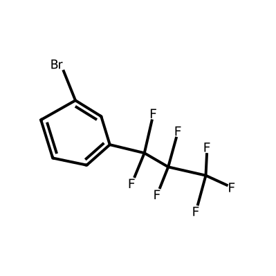 FC(F)(F)C(F)(F)C(F)(F)c1cccc(Br)c1